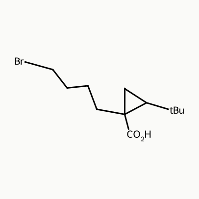 CC(C)(C)C1CC1(CCCCBr)C(=O)O